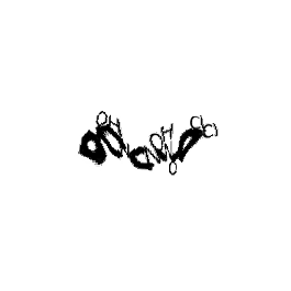 O=C(NCC(=O)N1CCC(N2CCC(CO)(c3ccccc3)CC2)C1)c1ccc(Cl)c(Cl)c1